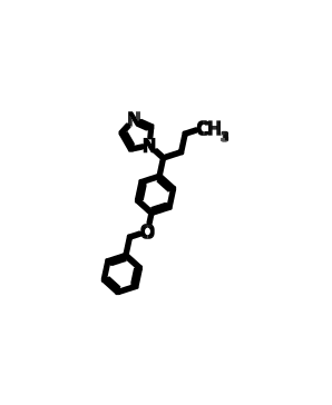 CCCC(c1ccc(OCc2ccccc2)cc1)n1ccnc1